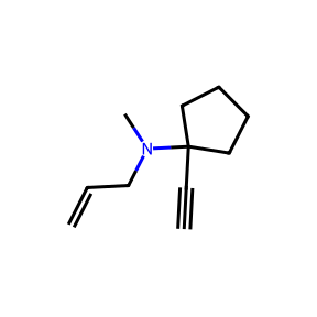 C#CC1(N(C)CC=C)CCCC1